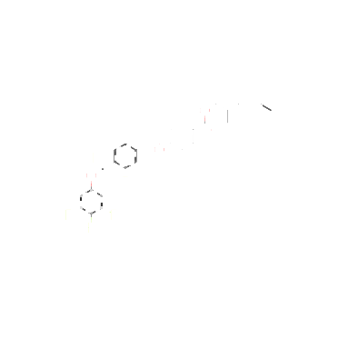 C=CCCC1COC(C2CCC(OCc3ccc(C(F)(F)Oc4cc(F)c(F)c(F)c4)c(F)c3)CC2)OC1